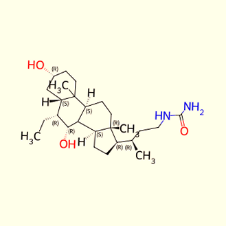 CC[C@H]1[C@@H](O)C2[C@H](CC[C@]3(C)[C@@H]([C@H](C)CCNC(N)=O)CC[C@@H]23)C2(C)CC[C@@H](O)C[C@@H]12